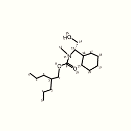 CCCC(CCC)COC(=O)N(C)[C@H](CO)C1CCCCC1